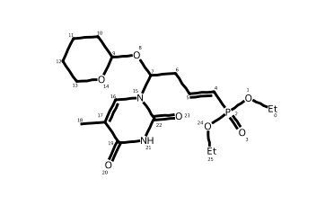 CCOP(=O)(C=CCC(OC1CCCCO1)n1cc(C)c(=O)[nH]c1=O)OCC